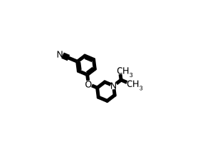 CC(C)N1CCCC(Oc2cccc(C#N)c2)C1